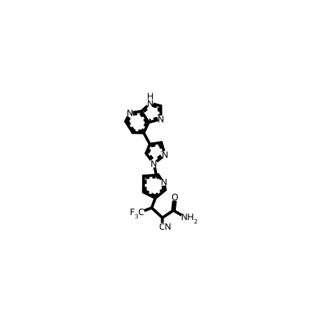 N#CC(C(N)=O)C(c1ccc(-n2cc(-c3ccnc4[nH]cnc34)cn2)nc1)C(F)(F)F